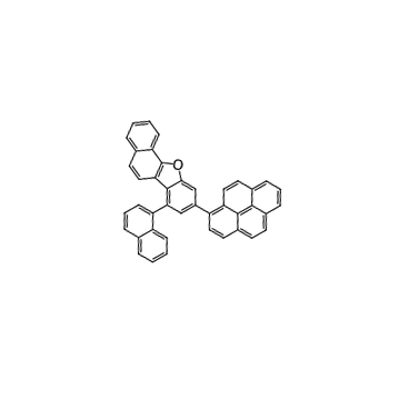 c1ccc2c(-c3cc(-c4ccc5ccc6cccc7ccc4c5c67)cc4oc5c6ccccc6ccc5c34)cccc2c1